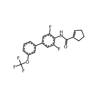 O=C(Nc1c(F)cc(-c2cccc(OC(F)(F)F)c2)cc1F)C1=CCCC1